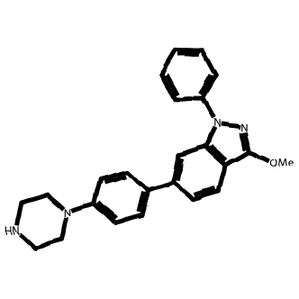 COc1nn(-c2ccccc2)c2cc(-c3ccc(N4CCNCC4)cc3)ccc12